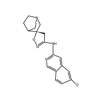 Clc1ccc2cnc(NC3=NO[C@@]4(C3)CN3CCC4CC3)cc2c1